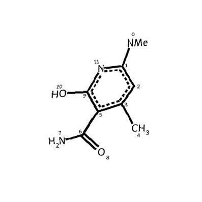 CNc1cc(C)c(C(N)=O)c(O)n1